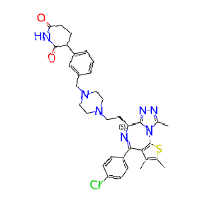 Cc1sc2c(c1C)C(c1ccc(Cl)cc1)=N[C@@H](CCN1CCN(Cc3cccc(C4CCC(=O)NC4=O)c3)CC1)c1nnc(C)n1-2